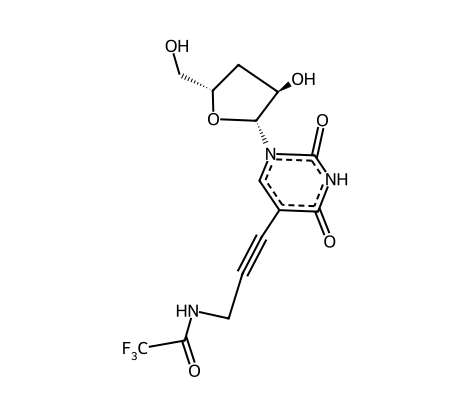 O=C(NCC#Cc1cn([C@@H]2O[C@H](CO)C[C@H]2O)c(=O)[nH]c1=O)C(F)(F)F